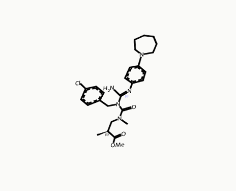 COC(=O)[C@@H](C)CN(C)C(=O)N(Cc1ccc(Cl)cc1)/C(N)=N/c1ccc(N2CCCCCC2)cc1